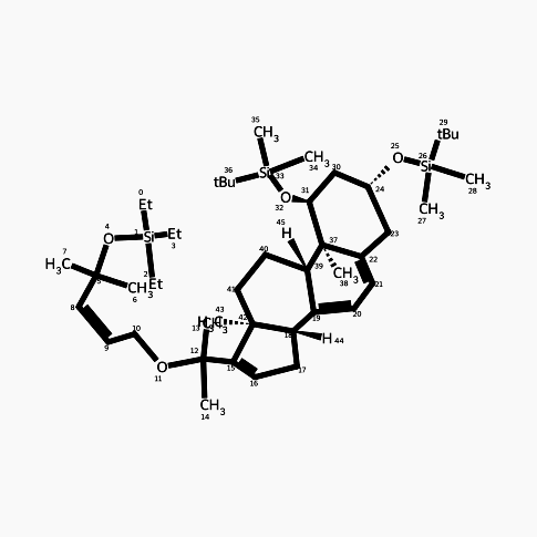 CC[Si](CC)(CC)OC(C)(C)/C=C\COC(C)(C)C1=CC[C@H]2C3=CC=C4C[C@@H](O[Si](C)(C)C(C)(C)C)C[C@H](O[Si](C)(C)C(C)(C)C)[C@]4(C)[C@H]3CC[C@]12C